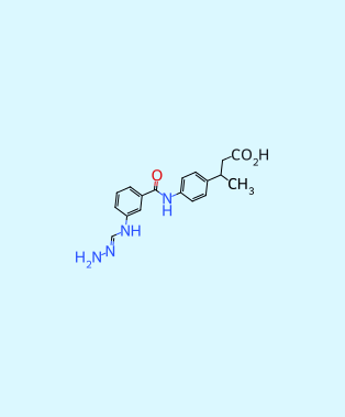 CC(CC(=O)O)c1ccc(NC(=O)c2cccc(NC=NN)c2)cc1